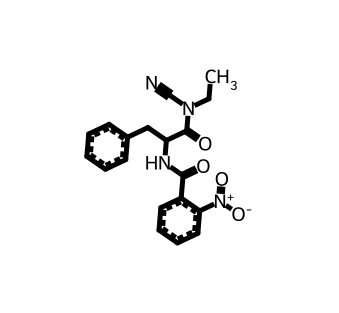 CCN(C#N)C(=O)C(Cc1ccccc1)NC(=O)c1ccccc1[N+](=O)[O-]